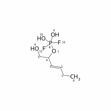 CCC=CC(CO)OP(O)(O)(F)F